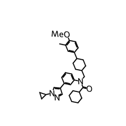 COc1ccc(C2CCC(CN(C(=O)C3CCCCC3)c3cccc(-c4cnn(C5CC5)c4)c3)CC2)cc1C